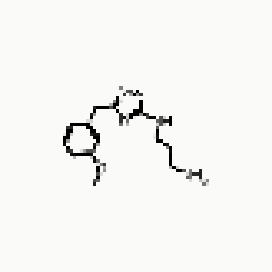 COc1cccc(Cc2nsc(NCCCN)n2)c1